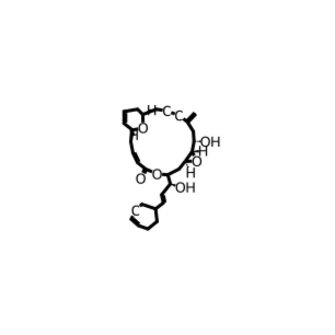 C=C1CCC[C@@H]2CC=C[C@@H](C/C=C\C(=O)OC([C@@H](O)/C=C/C3CCC=CCC3)C[C@@H]3O[C@H]3[C@@H](O)C1)O2